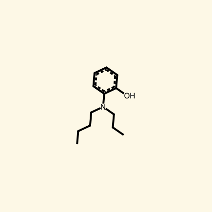 CCCCN(CCC)c1ccccc1O